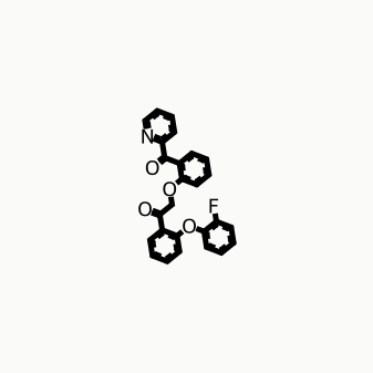 O=C(COc1ccccc1C(=O)c1ccccn1)c1ccccc1Oc1ccccc1F